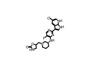 O=C1NCC(CN2CCC[C@H](Nc3nc(C4=CNC5NC=C(Cl)C=C45)ncc3F)C2)O1